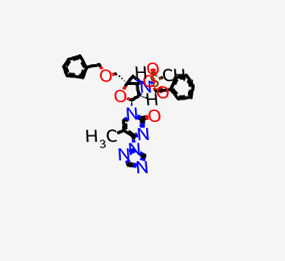 Cc1cn([C@@H]2O[C@@]3(COCc4ccccc4)CN(S(C)(=O)=O)[C@@H]2[C@@H]3OCc2ccccc2)c(=O)nc1-n1cncn1